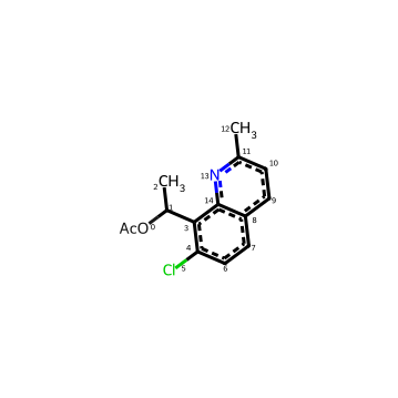 CC(=O)OC(C)c1c(Cl)ccc2ccc(C)nc12